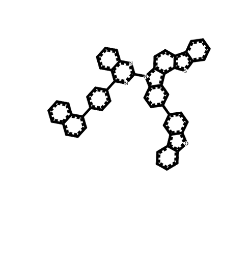 c1ccc2c(-c3ccc(-c4nc(-n5c6ccc(-c7ccc8oc9ccccc9c8c7)cc6c6c7sc8ccccc8c7ccc65)nc5ccccc45)cc3)cccc2c1